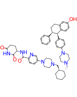 O=C1CCC(NC(=O)c2ccc(N3CCN(C[C@@H]4CCCC[C@H]4CN4CCN(c5ccc([C@@H]6c7ccc(O)cc7CC[C@@H]6c6ccccc6)cc5)CC4)CC3)cn2)C(=O)N1